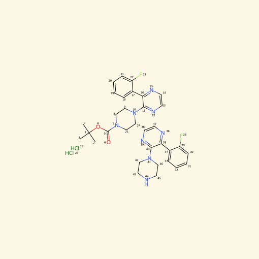 CC(C)(C)OC(=O)N1CCN(c2nccnc2-c2ccccc2F)CC1.Cl.Cl.Fc1ccccc1-c1nccnc1N1CCNCC1